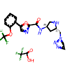 O=C(N[C@H]1CN[C@H](Cn2ccnn2)C1)c1ncc(-c2ccccc2OC(F)(F)F)o1.O=C(O)C(F)(F)F